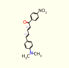 CN(C)c1ccc(/C=C/C=C/C(=O)c2ccc([N+](=O)[O-])cc2)cc1